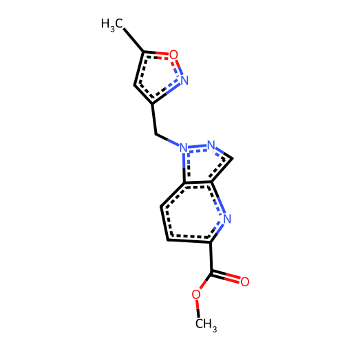 COC(=O)c1ccc2c(cnn2Cc2cc(C)on2)n1